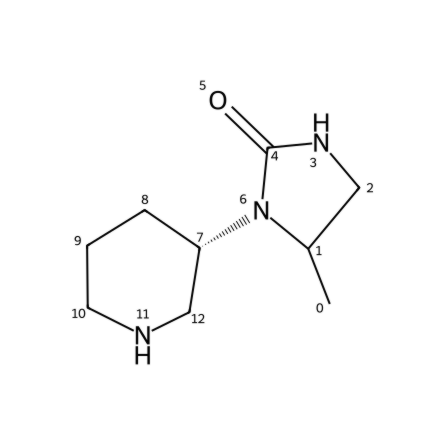 CC1CNC(=O)N1[C@H]1CCCNC1